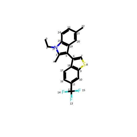 CCn1c(C)c(-c2csc3cc(C(F)(F)F)ccc23)c2cc(C)ccc21